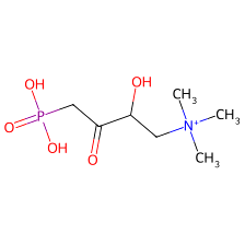 C[N+](C)(C)CC(O)C(=O)CP(=O)(O)O